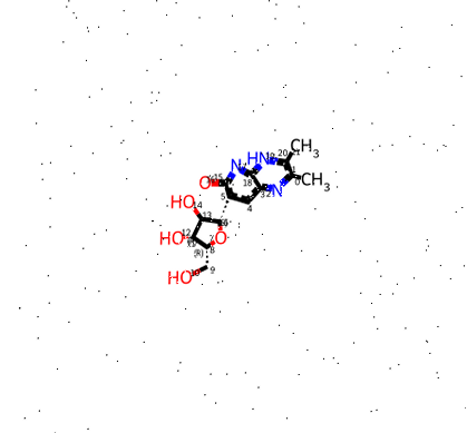 Cc1nc2cc([C@@H]3O[C@H](CO)[C@H](O)C3O)c(=O)nc-2[nH]c1C